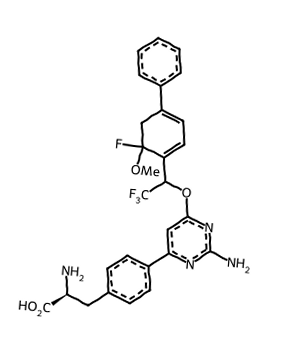 COC1(F)CC(c2ccccc2)=CC=C1C(Oc1cc(-c2ccc(C[C@H](N)C(=O)O)cc2)nc(N)n1)C(F)(F)F